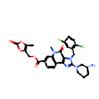 Cc1oc(=O)oc1COC(=O)c1ccc2c3nc(N4CCC[C@@H](N)C4)n(Cc4cc(F)ccc4Cl)c3c(=O)n(C)c2c1